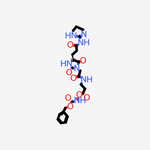 O=C(CN1C(=O)N[C@@H](CCC(=O)NC2=NCCCN2)C1=O)NCCC(=O)ONC(=O)OCc1ccccc1